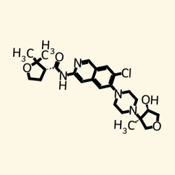 CC1(C)OCC[C@H]1C(=O)Nc1cc2cc(N3CCN([C@]4(C)COC[C@@H]4O)CC3)c(Cl)cc2cn1